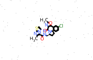 Cc1nc(C(=O)N2CCC[C@H]2CNC(=O)c2c(C)nc3sccn23)c(-c2cccc(Cl)c2)o1